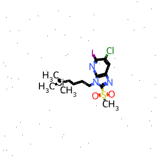 C[Si](C)(C)CCCCn1c(S(C)(=O)=O)nc2cc(Cl)c(I)nc21